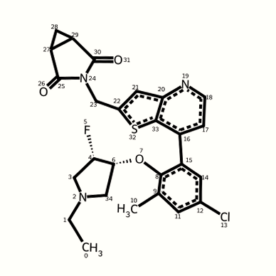 CCN1C[C@H](F)[C@H](Oc2c(C)cc(Cl)cc2-c2ccnc3cc(CN4C(=O)C5CC5C4=O)sc23)C1